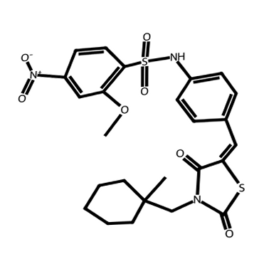 COc1cc([N+](=O)[O-])ccc1S(=O)(=O)Nc1ccc(C=C2SC(=O)N(CC3(C)CCCCC3)C2=O)cc1